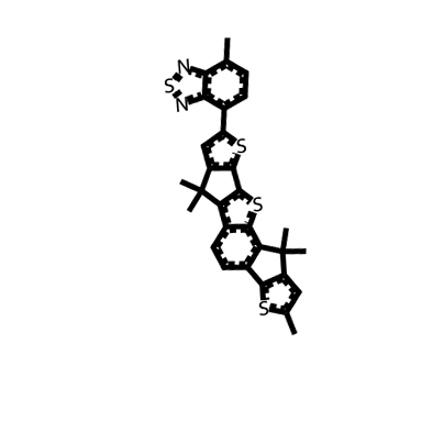 Cc1cc2c(s1)-c1ccc3c4c(sc3c1C2(C)C)-c1sc(-c2ccc(C)c3nsnc23)cc1C4(C)C